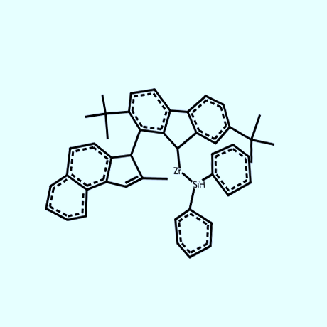 CC1=Cc2c(ccc3ccccc23)C1c1c(C(C)(C)C)ccc2c1[CH]([Zr][SiH](c1ccccc1)c1ccccc1)c1cc(C(C)(C)C)ccc1-2